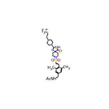 CC(=O)NCc1cc(C)c(/C=C/S(=O)(=O)N2CCC3(CC2)N=C(C2CCC(CCC(F)(F)F)CC2)NC3=O)c(C)c1